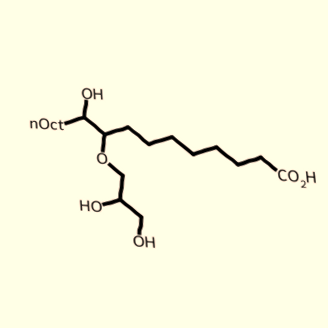 CCCCCCCCC(O)C(CCCCCCCC(=O)O)OCC(O)CO